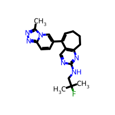 Cc1nnc2ccc(C3=CCCCc4nc(NCC(C)(C)F)ncc43)cn12